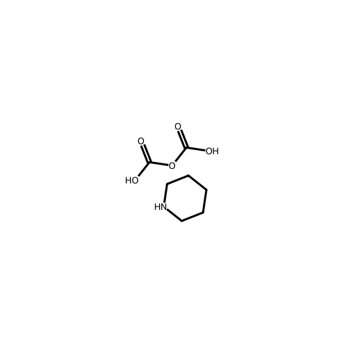 C1CCNCC1.O=C(O)OC(=O)O